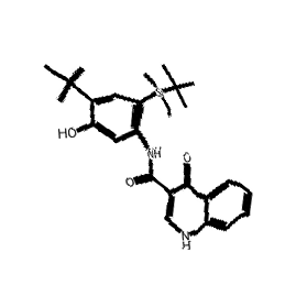 CC(C)(C)c1cc([Si](C)(C)C(C)(C)C)c(NC(=O)c2c[nH]c3ccccc3c2=O)cc1O